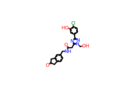 O=C1Cc2ccc(CNC(=O)Cc3nc(-c4ccc(Cl)c(O)c4)nn3CO)cc2C1